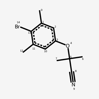 Cc1cc(OC(C)(C)C#N)cc(C)c1Br